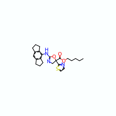 CCCCCOC(=O)C1(c2nccs2)CN=C(Nc2c3c(cc4c2CCC4)CCC3)O1